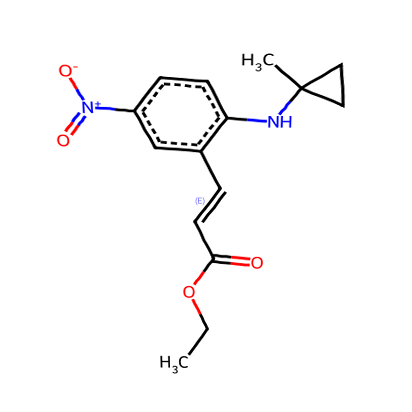 CCOC(=O)/C=C/c1cc([N+](=O)[O-])ccc1NC1(C)CC1